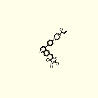 C=CC(=O)N1CCN(c2ccc(-c3ccnc4ccc(/C=C5/SC(=O)NC5=O)cc34)cc2)CC1